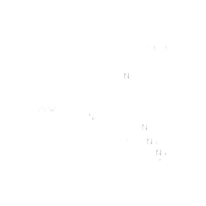 O=C([O-])CN1CCNCCN(CC(=O)[O-])CC1.[Na+].[Na+]